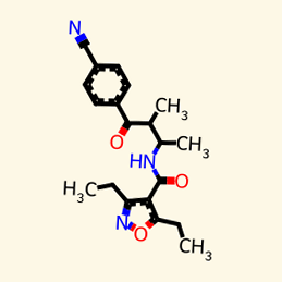 CCc1noc(CC)c1C(=O)NC(C)C(C)C(=O)c1ccc(C#N)cc1